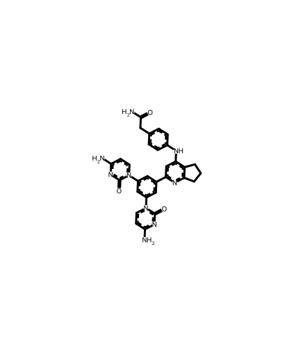 NC(=O)Cc1ccc(Nc2cc(-c3cc(-n4ccc(N)nc4=O)cc(-n4ccc(N)nc4=O)c3)nc3c2CCC3)cc1